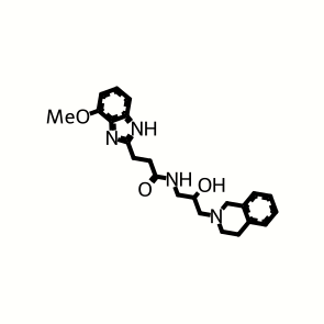 COc1cccc2[nH]c(CCC(=O)NCC(O)CN3CCc4ccccc4C3)nc12